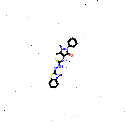 Cc1c(NC(=S)N/N=c2/sc3ccccc3n2C)c(=O)n(-c2ccccc2)n1C